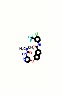 CN(C)C(=O)Nc1cc(Oc2ccc3ccc(C(=O)Nc4ccc(Cl)c(C(F)(F)F)c4)cc3c2)ccn1